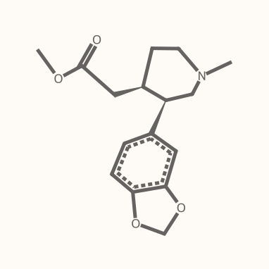 COC(=O)C[C@H]1CCN(C)C[C@H]1c1ccc2c(c1)OCO2